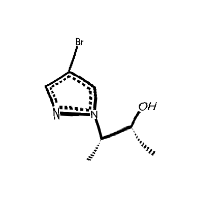 C[C@@H](O)[C@H](C)n1cc(Br)cn1